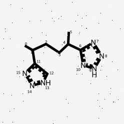 CC(CCC(C)c1nn[nH]n1)c1c[nH]nn1